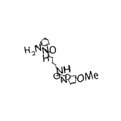 COc1ccc2c(c1)cc(C(=O)NCCCCCC(=O)Nc1ccccc1N)n2C